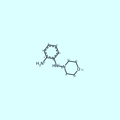 Nc1c[c]ccc1NN1CCOCC1